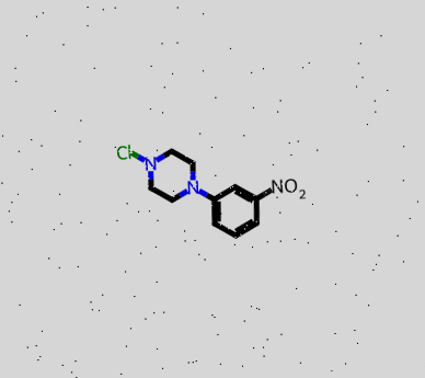 O=[N+]([O-])c1cccc(N2CCN(Cl)CC2)c1